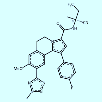 COc1cc2c(cc1-c1nnn(C)n1)-c1c(-c3ccc(F)cc3)cc(C(=O)N[C@](C)(C#N)CC(F)(F)F)n1CC2